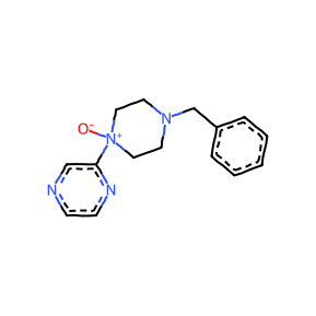 [O-][N+]1(c2cnccn2)CCN(Cc2ccccc2)CC1